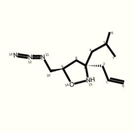 C=CC[C@@]1(CC(C)C)C[C@H](CN=[N+]=[N-])ON1